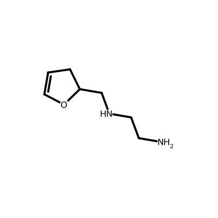 NCCNCC1CC=CO1